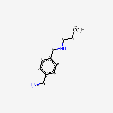 NCc1ccc(CNCCC(=O)O)cc1